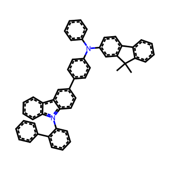 CC1(C)c2ccccc2-c2ccc(N(c3ccccc3)c3ccc(-c4ccc5c(c4)c4ccccc4n5-c4ccccc4-c4ccccc4)cc3)cc21